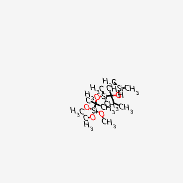 CCC(C)(O[SiH](C)C)[Si](C)(C)OC(C)(C)[Si](OC)(OC)OC